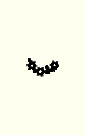 O=C(Nc1ccccc1)NC1CCC(Oc2ccc(F)cc2)CC1